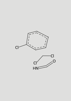 ClCCl.Clc1ccccc1.N=C=O